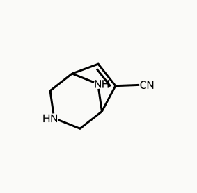 N#CC1=CC2CNCC1N2